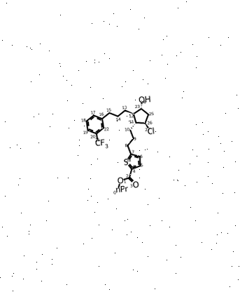 CCCOC(=O)c1ccc(CCC[C@@H]2[C@@H](CCCc3cccc(C(F)(F)F)c3)[C@H](O)C[C@H]2Cl)s1